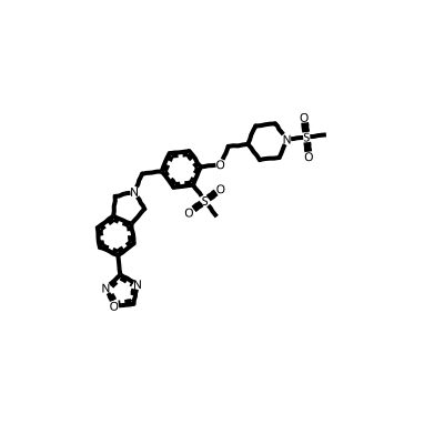 CS(=O)(=O)c1cc(CN2Cc3ccc(-c4ncon4)cc3C2)ccc1OCC1CCN(S(C)(=O)=O)CC1